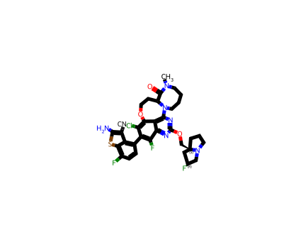 CN1CCCCN2c3nc(OC[C@@]45CCCN4C[C@H](F)C5)nc4c(F)c(-c5ccc(F)c6sc(N)c(C#N)c56)c(Cl)c(c34)OCCC2C1=O